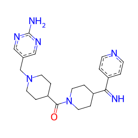 N=C(c1ccncc1)C1CCN(C(=O)C2CCN(Cc3cnc(N)nc3)CC2)CC1